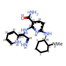 CNC1CCCC[C@H]1Nc1ccc(C(N)=O)c(N/C(C=N)=C2\C=CC=CN2)n1